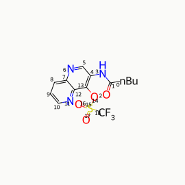 CCCCC(=O)Nc1cnc2cccnc2c1OS(=O)(=O)C(F)(F)F